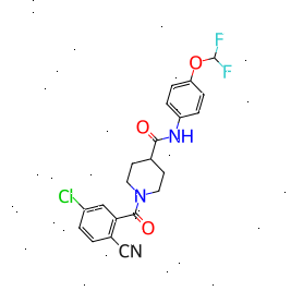 N#Cc1ccc(Cl)cc1C(=O)N1CCC(C(=O)Nc2ccc(OC(F)F)cc2)CC1